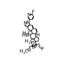 COCC(=O)O[C@]1(C(=O)SCF)CCC2[C@@H]3C=CC4=Cc5c(cnn5-c5ccc(F)nc5)C[C@]4(C)C3[C@@H](O)C[C@@]21C